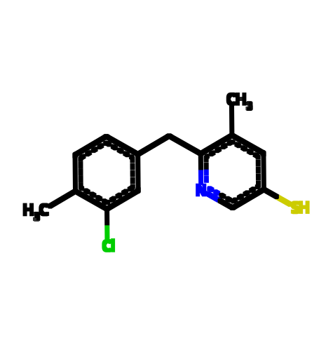 Cc1ccc(Cc2ncc(S)cc2C)cc1Cl